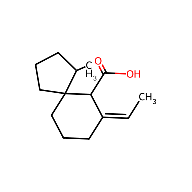 C/C=C1/CCCC2(CCCC2C)C1C(=O)O